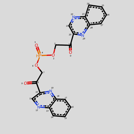 O=C(CO[PH](=O)OCC(=O)c1cnc2ccccc2n1)c1cnc2ccccc2n1